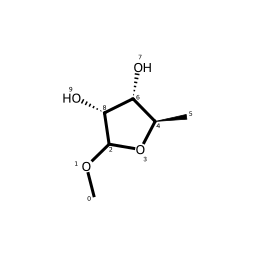 COC1O[C@H](C)[C@@H](O)[C@H]1O